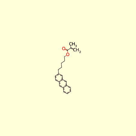 C=C(C)C(=O)OCCCCCc1ccc2cc3ccccc3cc2c1